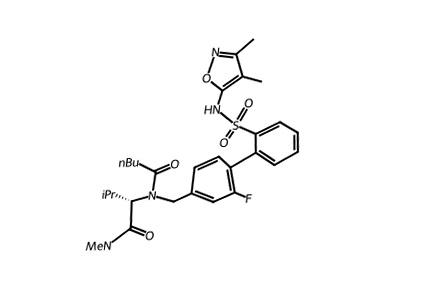 CCCCC(=O)N(Cc1ccc(-c2ccccc2S(=O)(=O)Nc2onc(C)c2C)c(F)c1)[C@H](C(=O)NC)C(C)C